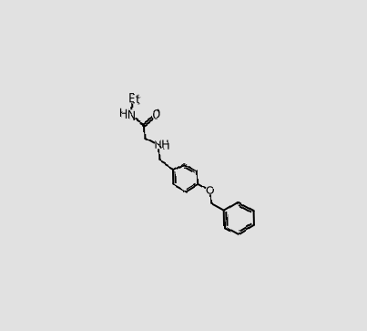 CCNC(=O)CNCc1ccc(OCc2ccccc2)cc1